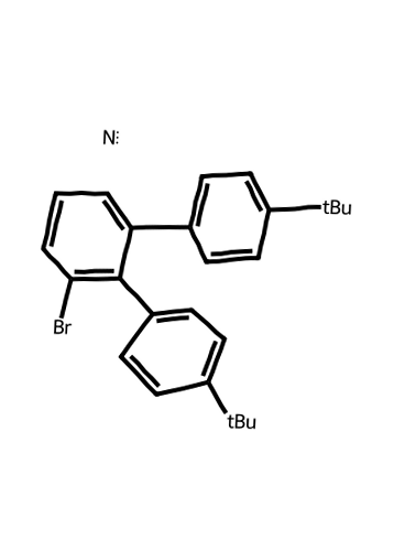 CC(C)(C)c1ccc(-c2cccc(Br)c2-c2ccc(C(C)(C)C)cc2)cc1.[N]